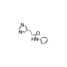 O=C(CCc1cncnc1)Nc1ccccc1